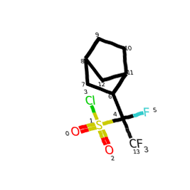 O=S(=O)(Cl)C(F)(C1CC2CCC1C2)C(F)(F)F